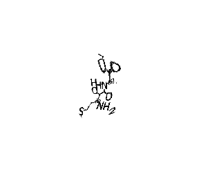 CCOC(=O)[C@H](C)NC(=O)C(O)[C@@H](N)CCSC